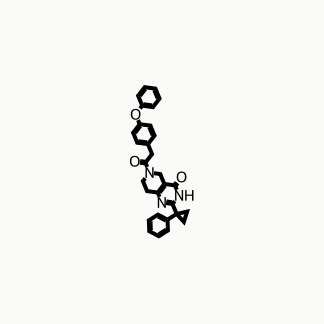 O=C(Cc1ccc(Oc2ccccc2)cc1)N1CCc2nc(C3(c4ccccc4)CC3)[nH]c(=O)c2C1